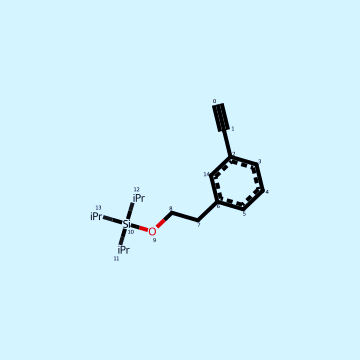 C#Cc1cccc(CCO[Si](C(C)C)(C(C)C)C(C)C)c1